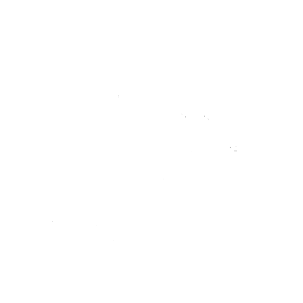 COc1ccc(Cn2c(=O)c3c(N)n(-c4ccccc4C)nc3c3c(OC)cc(OC)cc32)cc1